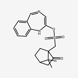 CC1(C)C2CCC1(CS(=O)(=O)OC1=CN=Cc3ccccc3N1)C(=O)C2